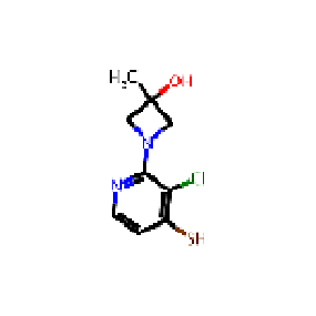 CC1(O)CN(c2nccc(S)c2Cl)C1